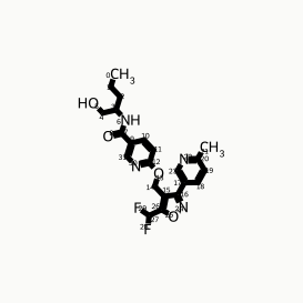 CCCC(CO)NC(=O)c1ccc(OCc2c(-c3ccc(C)nc3)noc2C(F)F)nc1